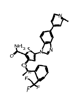 Cc1cc(-c2ccc3c(c2)ncn3-c2cc(O[C@H](C)c3ccccc3C(F)(F)F)c(C(N)=O)s2)ccn1